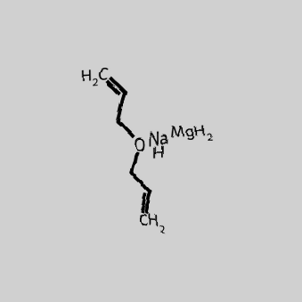 C=CCOCC=C.[MgH2].[NaH]